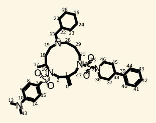 C=C1CN(S(=O)(=O)c2ccc(N(C)C)cc2)C(C)CCN(CC2CCCCC2)CCCN(S(=O)(=O)N2CCC(c3ccccc3)CC2)C1